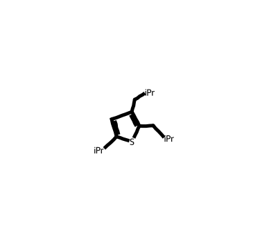 CC(C)Cc1cc(C(C)C)sc1CC(C)C